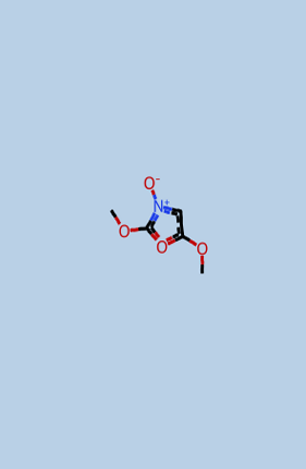 COc1c[n+]([O-])c(OC)o1